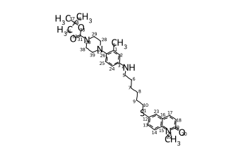 Cc1cc(NCCCCCCSc2ccc3c(ccc(=O)n3C)c2)ccc1N1CCN(C(=O)OC(C)(C)C)CC1